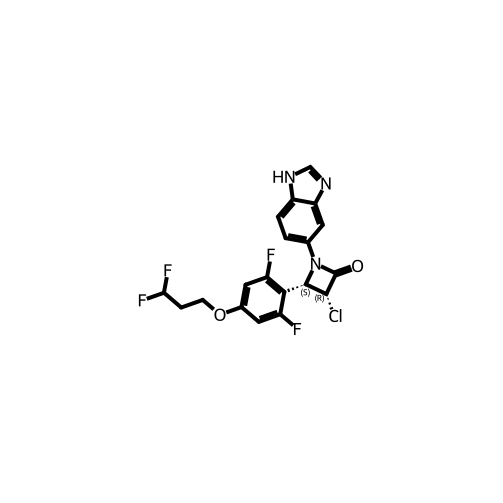 O=C1[C@H](Cl)[C@H](c2c(F)cc(OCCC(F)F)cc2F)N1c1ccc2[nH]cnc2c1